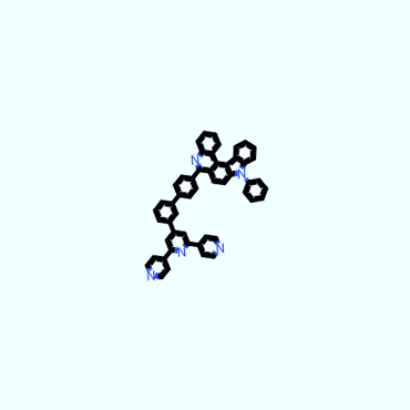 c1ccc(-n2c3ccccc3c3c4c(ccc32)c(-c2ccc(-c3cccc(-c5cc(-c6ccncc6)nc(-c6ccncc6)c5)c3)cc2)nc2ccccc24)cc1